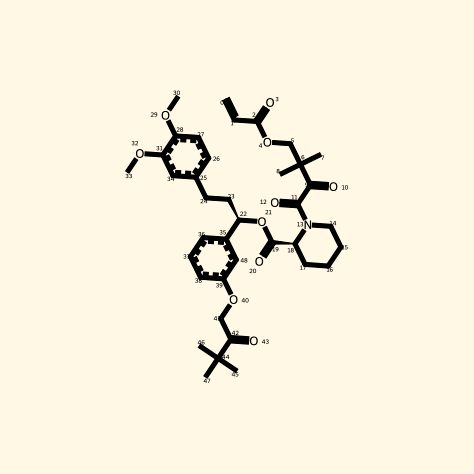 C=CC(=O)OCC(C)(C)C(=O)C(=O)N1CCCC[C@H]1C(=O)O[C@H](CCc1ccc(OC)c(OC)c1)c1cccc(OCC(=O)C(C)(C)C)c1